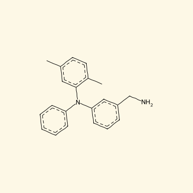 Cc1ccc(C)c(N(c2ccccc2)c2cccc(CN)c2)c1